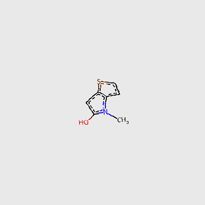 Cn1c(O)cc2sccc21